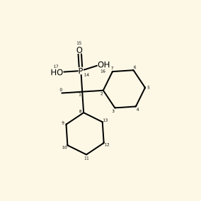 CC(C1CCCCC1)(C1CCCCC1)P(=O)(O)O